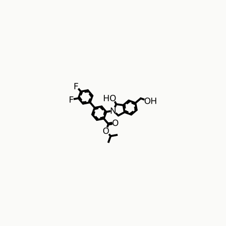 CC(C)OC(=O)c1ccc(-c2ccc(F)c(F)c2)cc1N1Cc2ccc(CO)cc2C1O